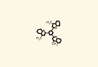 Cc1cc(-c2cc(-c3cc(C)c4ccccc4n3)cc(-c3cc(C)c4ccccc4n3)c2)nc2ccccc12